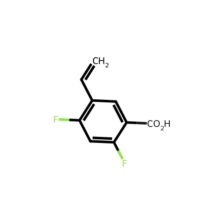 C=Cc1cc(C(=O)O)c(F)cc1F